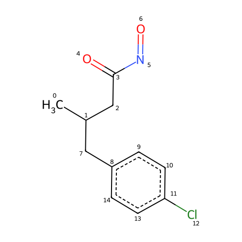 CC(CC(=O)N=O)Cc1ccc(Cl)cc1